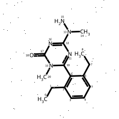 CCc1cccc(CC)c1-c1nc(N(C)N)nc(=O)n1C